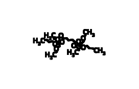 CCCCOC(COCC)(OCC)OC(=O)CCCC(=O)OC(COCC)(OCC)OCCCC